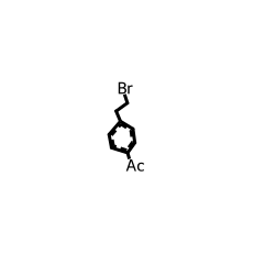 CC(=O)c1ccc(CCBr)cc1